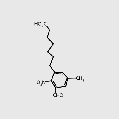 Cc1cc(C=O)c([N+](=O)[O-])c(CCCCCCC(=O)O)c1